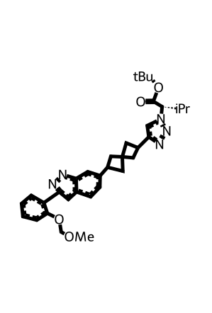 COCOc1ccccc1-c1cc2ccc(C3CC4(C3)CC(c3cn([C@H](C(=O)OC(C)(C)C)C(C)C)nn3)C4)cc2nn1